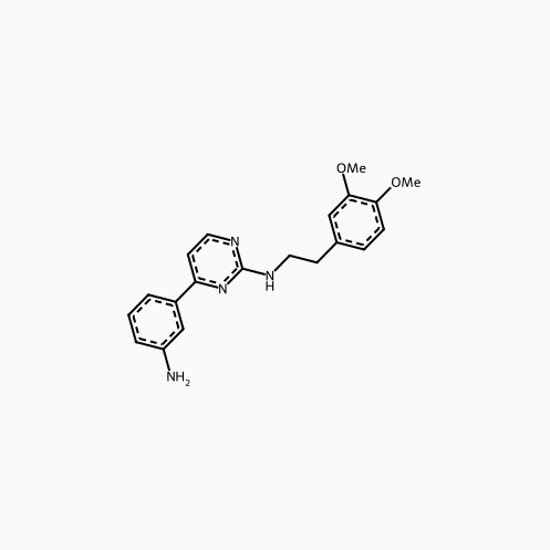 COc1ccc(CCNc2nccc(-c3cccc(N)c3)n2)cc1OC